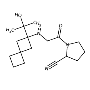 CC(C)(O)C1(NCC(=O)N2CCCC2C#N)CC2(CCC2)C1